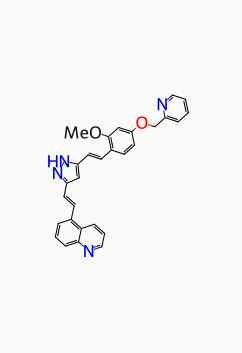 COc1cc(OCc2ccccn2)ccc1C=Cc1cc(C=Cc2cccc3ncccc23)n[nH]1